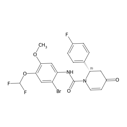 COc1cc(NC(=O)N2C=CC(=O)C[C@H]2c2ccc(F)cc2)c(Br)cc1OC(F)F